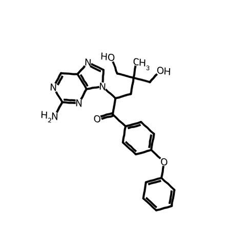 CC(CO)(CO)CC(C(=O)c1ccc(Oc2ccccc2)cc1)n1cnc2cnc(N)nc21